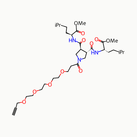 C#CCOCCOCCOCCOCCC(=O)N1C[C@@H](C(=O)N[C@@H](CCC(C)C)C(=O)OC)[C@H](C(=O)N[C@@H](CCC(C)C)C(=O)OC)C1